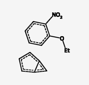 CCOc1ccccc1[N+](=O)[O-].c1cc2cc-2c1